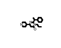 C=C(c1ccccc1)c1nc(-c2ccncc2)cc(=O)n1/C=C/C